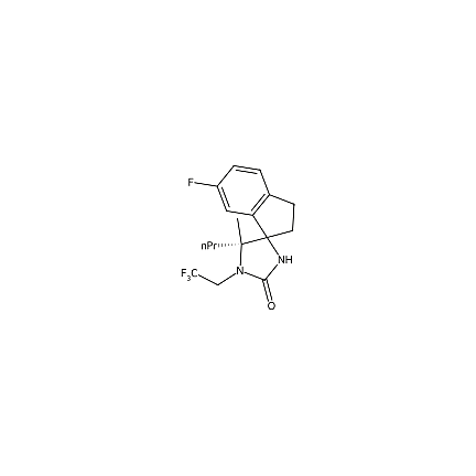 CCC[C@@]1(C)N(CC(F)(F)F)C(=O)NC12CCc1ccc(F)cc12